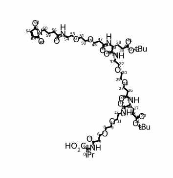 CC(C)[C@H](NC(=O)CCOCCOCCNC(=O)[C@H](CCC(=O)OC(C)(C)C)NC(=O)CCOCCOCCNC(=O)[C@H](CCC(=O)OC(C)(C)C)NC(=O)CCOCCOCCNC(=O)CCCN1C(=O)C=CC1=O)C(=O)O